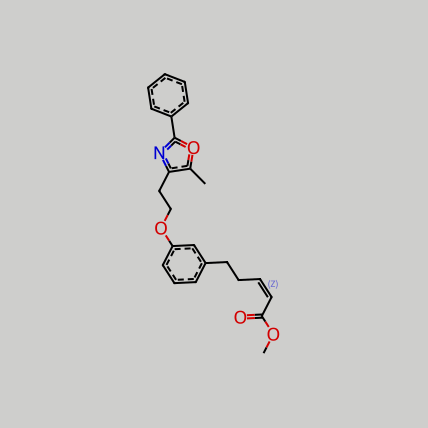 COC(=O)/C=C\CCc1cccc(OCCc2nc(-c3ccccc3)oc2C)c1